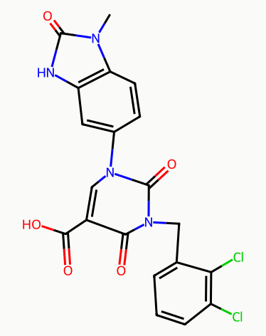 Cn1c(=O)[nH]c2cc(-n3cc(C(=O)O)c(=O)n(Cc4cccc(Cl)c4Cl)c3=O)ccc21